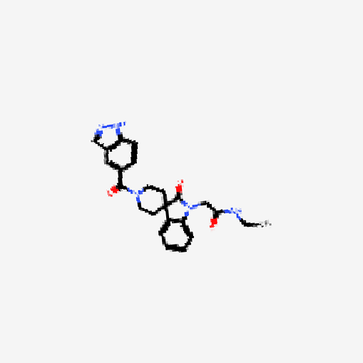 O=C(CN1C(=O)C2(CCN(C(=O)c3ccc4[nH]ncc4c3)CC2)c2ccccc21)NCC(F)(F)F